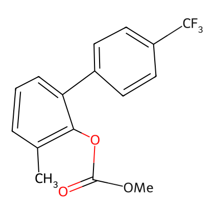 COC(=O)Oc1c(C)cccc1-c1ccc(C(F)(F)F)cc1